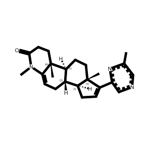 Cc1cncc(C2=CC[C@H]3[C@@H]4CC=C5N(C)C(=O)CC[C@]5(C)[C@H]4CC[C@]23C)n1